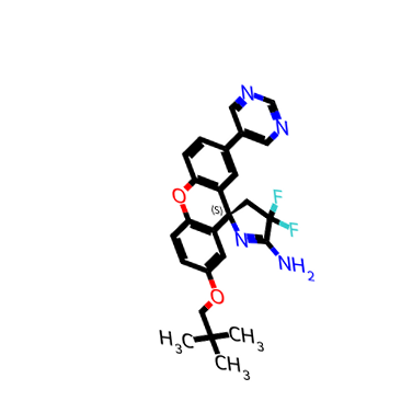 CC(C)(C)COc1ccc2c(c1)[C@]1(CC(F)(F)C(N)=N1)c1cc(-c3cncnc3)ccc1O2